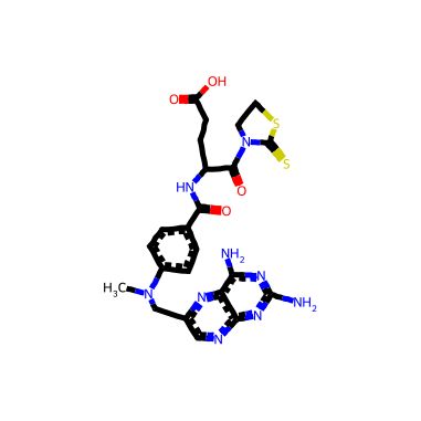 CN(Cc1cnc2nc(N)nc(N)c2n1)c1ccc(C(=O)NC(CCC(=O)O)C(=O)N2CCSC2=S)cc1